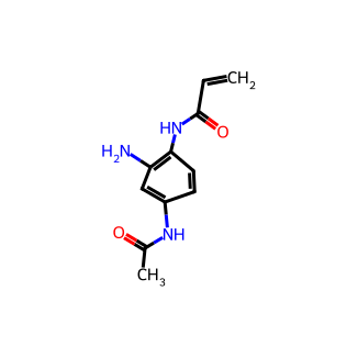 C=CC(=O)Nc1ccc(NC(C)=O)cc1N